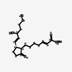 CCOCCC(O)/C=C/[C@H]1CCC(=O)[C@@H]1CCCC/C=C/C(=O)OC